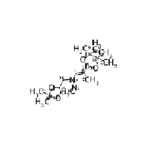 C=NN(/C=C(\C)B1OC(C)(C)C(C)(C)O1)CC1COC(C)(C)O1